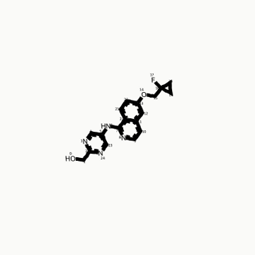 OCc1ncc(Nc2nccc3cc(OCC4(F)CC4)ccc23)cn1